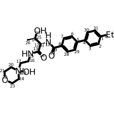 CCc1ccc(-c2ccc(C(=O)N[C@H](C(=O)NCC[N+]3(O)CCOCC3)[C@@H](C)O)cc2)cc1